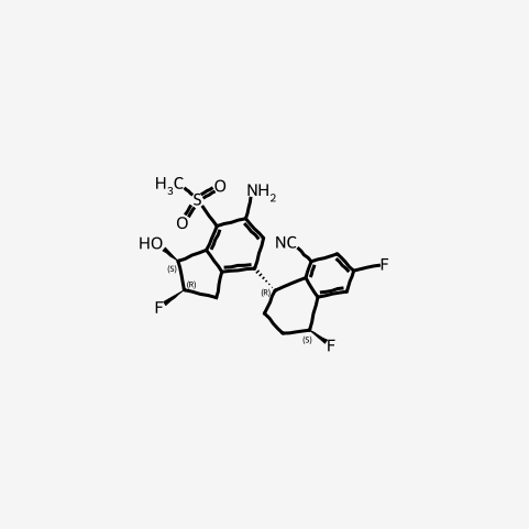 CS(=O)(=O)c1c(N)cc([C@H]2CC[C@H](F)c3cc(F)cc(C#N)c32)c2c1[C@H](O)[C@H](F)C2